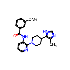 COc1cccc(C(=O)Nc2cccnc2N2CCC(c3[nH]cnc3C)CC2)c1